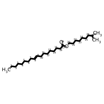 CCCCCCCCC=CCCCCCCCC(=O)OCCCCCCCC(C)C